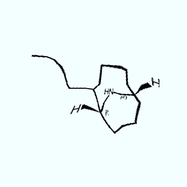 CCC[C]1CC[C@@H]2CC[C@H]1N2